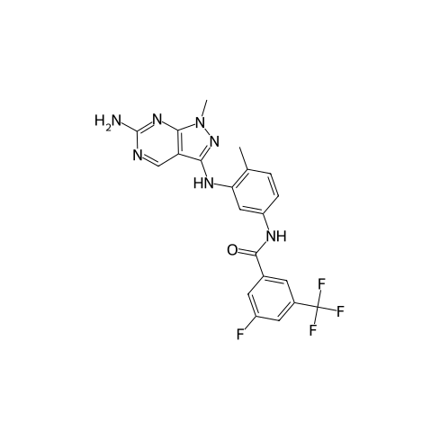 Cc1ccc(NC(=O)c2cc(F)cc(C(F)(F)F)c2)cc1Nc1nn(C)c2nc(N)ncc12